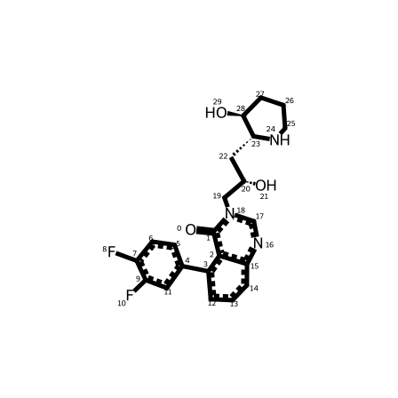 O=c1c2c(-c3ccc(F)c(F)c3)cccc2ncn1C[C@@H](O)C[C@H]1NCCC[C@@H]1O